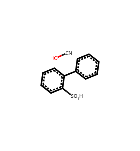 N#CO.O=S(=O)(O)c1ccccc1-c1ccccc1